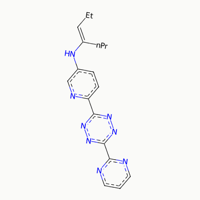 CC/C=C(\CCC)Nc1ccc(-c2nnc(-c3ncccn3)nn2)nc1